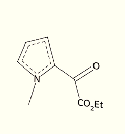 CCOC(=O)C(=O)c1cccn1C